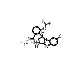 C/N=C1\N[C@@H]2C[C@H](c3c(OC(F)F)cccc31)n1c2nc2ccc(Cl)cc21